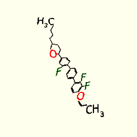 CC/C=C\Oc1ccc(-c2ccc(-c3ccc(C4CCC(CCCCC)CO4)cc3F)cc2)c(F)c1F